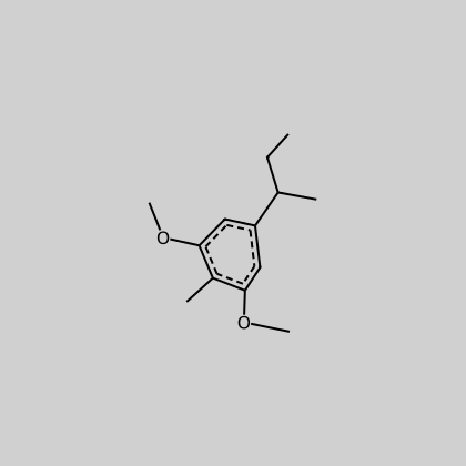 CCC(C)c1cc(OC)c(C)c(OC)c1